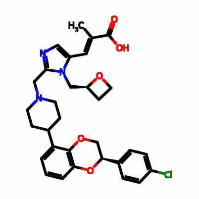 C/C(=C\c1cnc(CN2CCC(c3cccc4c3OC[C@@H](c3ccc(Cl)cc3)O4)CC2)n1C[C@@H]1CCO1)C(=O)O